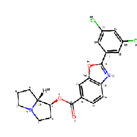 O=C(O[C@H]1CCN2CCC[C@H]12)c1ccc2nc(-c3cc(Cl)cc(Cl)c3)oc2c1